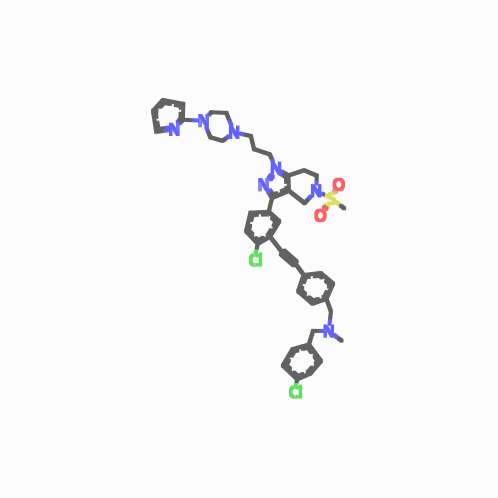 CN(Cc1ccc(Cl)cc1)Cc1ccc(C#Cc2cc(-c3nn(CCCN4CCN(c5ccccn5)CC4)c4c3CN(S(C)(=O)=O)CC4)ccc2Cl)cc1